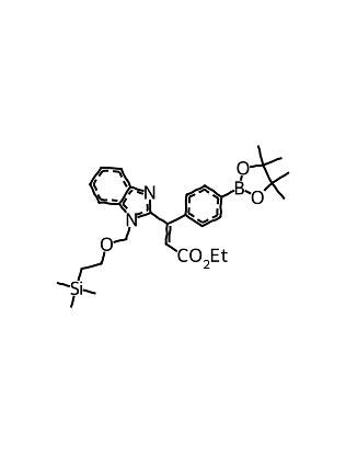 CCOC(=O)C=C(c1ccc(B2OC(C)(C)C(C)(C)O2)cc1)c1nc2ccccc2n1COCC[Si](C)(C)C